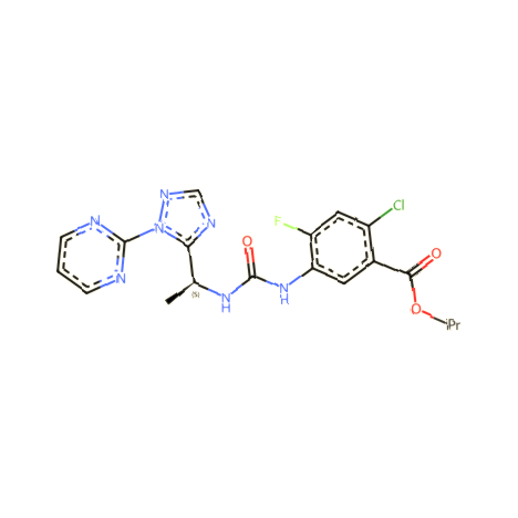 CC(C)OC(=O)c1cc(NC(=O)N[C@@H](C)c2ncnn2-c2ncccn2)c(F)cc1Cl